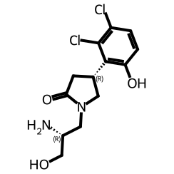 N[C@@H](CO)CN1C[C@@H](c2c(O)ccc(Cl)c2Cl)CC1=O